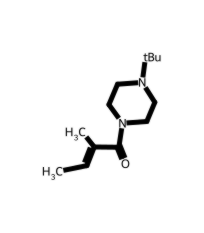 C/C=C(\C)C(=O)N1CCN(C(C)(C)C)CC1